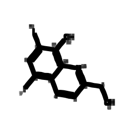 OCc1ccc2c(I)cc(I)c(O)c2n1